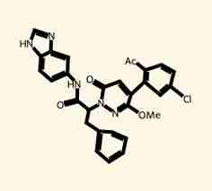 COc1nn(C(Cc2ccccc2)C(=O)Nc2ccc3[nH]cnc3c2)c(=O)cc1-c1cc(Cl)ccc1C(C)=O